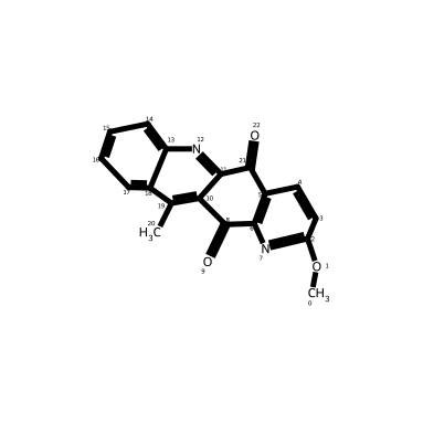 COc1ccc2c(n1)C(=O)c1c(nc3ccccc3c1C)C2=O